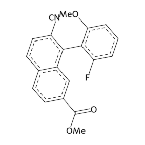 COC(=O)c1ccc2ccc(C#N)c(-c3c(F)cccc3OC)c2c1